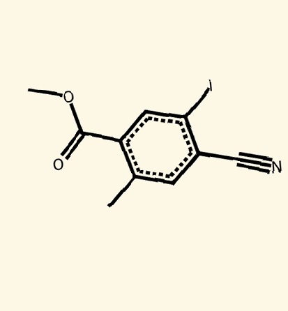 COC(=O)c1cc(I)c(C#N)cc1C